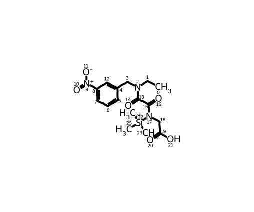 CCN(Cc1cccc([N+](=O)[O-])c1)C(=O)C(=O)N(CC(=O)O)[Si](C)(C)C